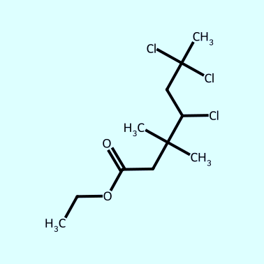 CCOC(=O)CC(C)(C)C(Cl)CC(C)(Cl)Cl